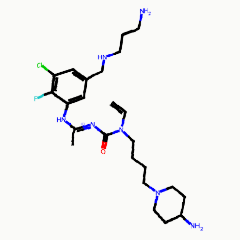 C=CN(CCCCN1CCC(N)CC1)C(=O)/N=C(\C)Nc1cc(CNCCCN)cc(Cl)c1F